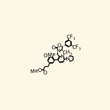 COC(=O)CCc1ccc(OC)c(-c2ccc(N3CCCC3)nc2CN2C(=O)O[C@H](c3cc(C(F)(F)F)cc(C(F)(F)F)c3)[C@@H]2C)c1